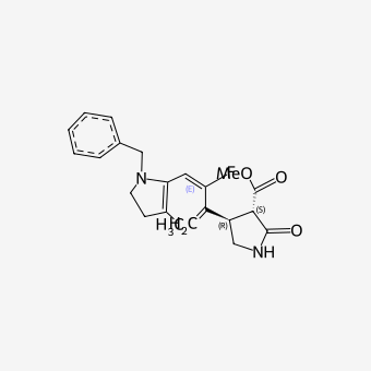 C=C(/C(F)=C\C1=C(C)CCN1Cc1ccccc1)[C@@H]1CNC(=O)[C@H]1C(=O)OC